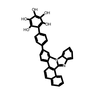 Oc1c(O)c(O)c(-c2ccc(-c3ccc4c5ccc6ccccc6c5c5nc6ccccc6n5c4c3)cc2)c(O)c1O